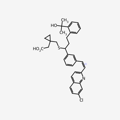 CC(C)(O)c1ccccc1CCC(SCC1(CC(=O)O)CC1)c1cccc(/C=C\c2ccc3ccc(Cl)cc3n2)c1